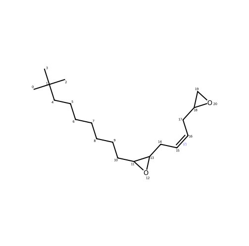 CC(C)(C)CCCCCCCC1OC1C/C=C\CC1CO1